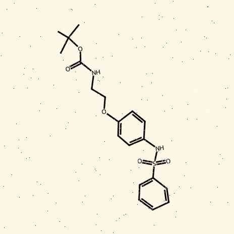 CC(C)(C)OC(=O)NCCOc1ccc(NS(=O)(=O)c2ccccc2)cc1